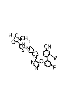 CN(C)C(=O)c1csc(N2CCC3(CCN(c4ncncc4Oc4ccc(F)cc4-c4ccc(C#N)cc4C4CC4)C3)C2)n1